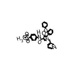 Cc1c(C(=O)Nc2ccc(S(C)(=O)=O)cc2)cn(Cc2cccnc2)c1-c1ccccc1Oc1ccccc1